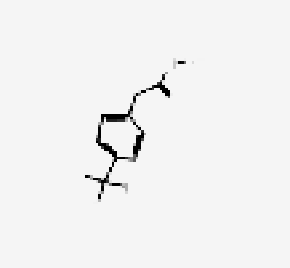 NNC(=O)Cc1ccc(C(F)(F)F)cc1